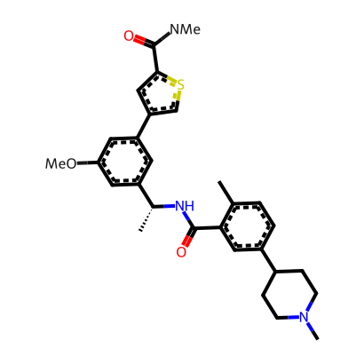 CNC(=O)c1cc(-c2cc(OC)cc([C@@H](C)NC(=O)c3cc(C4CCN(C)CC4)ccc3C)c2)cs1